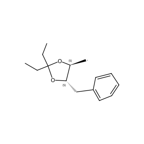 [CH2][C@@H]1OC(CC)(CC)O[C@H]1Cc1ccccc1